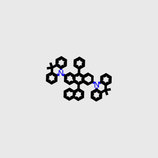 CC1(C)c2ccccc2N(c2ccc3c(-c4cccc5ccccc45)c4c(c(-c5ccccc5)c3c2)=CCC(N2c3ccccc3C(C)(C)c3ccccc32)C=4)c2ccccc21